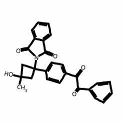 CC1(O)CC(c2ccc(C(=O)C(=O)c3ccccc3)cc2)(N2C(=O)c3ccccc3C2=O)C1